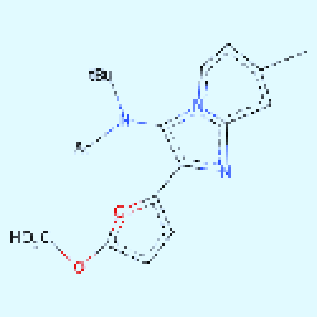 CC(=O)N(c1c(-c2ccc(OC(=O)O)o2)nc2cc(C)ccn12)C(C)(C)C